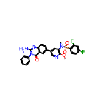 COc1ncc(-c2ccc3nc(N)n(-c4ccccc4)c(=O)c3c2)cc1N(C)S(=O)(=O)c1ccc(F)cc1F